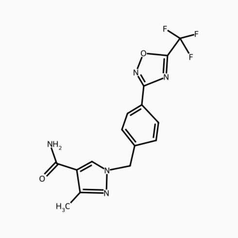 Cc1nn(Cc2ccc(-c3noc(C(F)(F)F)n3)cc2)cc1C(N)=O